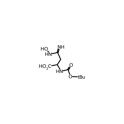 CC(C)(C)OC(=O)NC(CC(=N)NO)C(=O)O